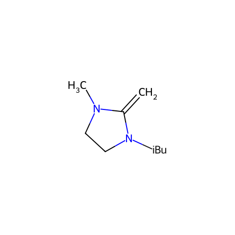 C=C1N(C)CCN1C(C)CC